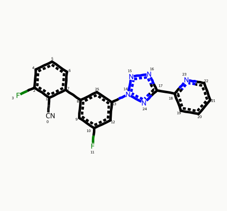 N#Cc1c(F)cccc1-c1cc(F)cc(-n2nnc(-c3ccccn3)n2)c1